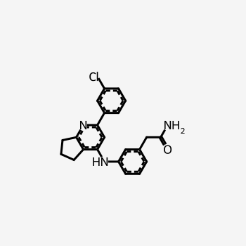 NC(=O)Cc1cccc(Nc2cc(-c3cccc(Cl)c3)nc3c2CCC3)c1